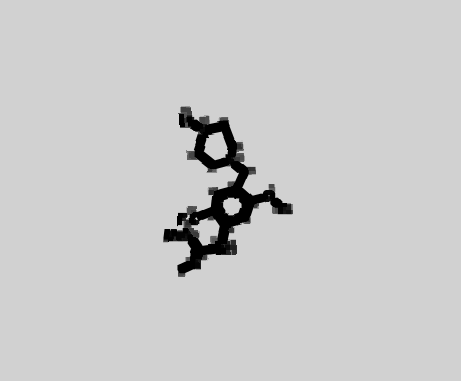 CCOc1cc(N/C(=N/C)NC)c(C(F)(F)F)cc1CN1CCN(CC)CC1